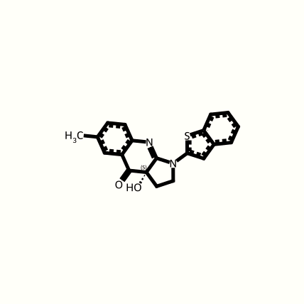 Cc1ccc2c(c1)C(=O)[C@]1(O)CCN(c3cc4ccccc4s3)C1=N2